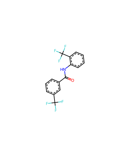 O=C(Nc1ccccc1C(F)(F)F)c1cccc(C(F)(F)F)c1